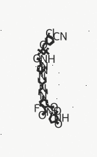 CC1(C)C(NC(=O)c2ccc(N3CCC(N4CCN(c5cc(F)c6c(c5)C(=O)N(C5CCC(=O)NC5=O)C6=O)CC4)CC3)nn2)C(C)(C)C1Oc1ccc(C#N)c(Cl)c1